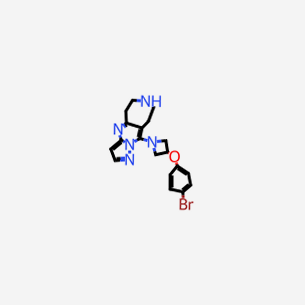 Brc1ccc(OC2CN(c3c4c(nc5ccnn35)CCNCC4)C2)cc1